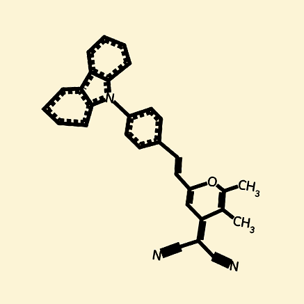 CC1=C(C)C(=C(C#N)C#N)C=C(/C=C/c2ccc(-n3c4ccccc4c4ccccc43)cc2)O1